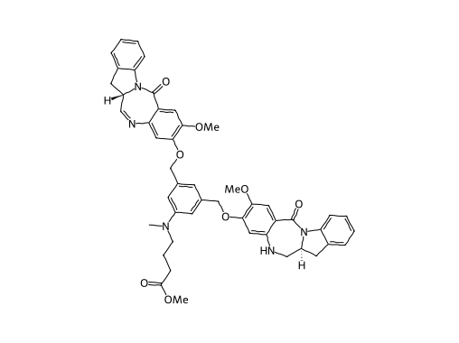 COC(=O)CCCN(C)c1cc(COc2cc3c(cc2OC)C(=O)N2c4ccccc4C[C@H]2C=N3)cc(COc2cc3c(cc2OC)C(=O)N2c4ccccc4C[C@H]2CN3)c1